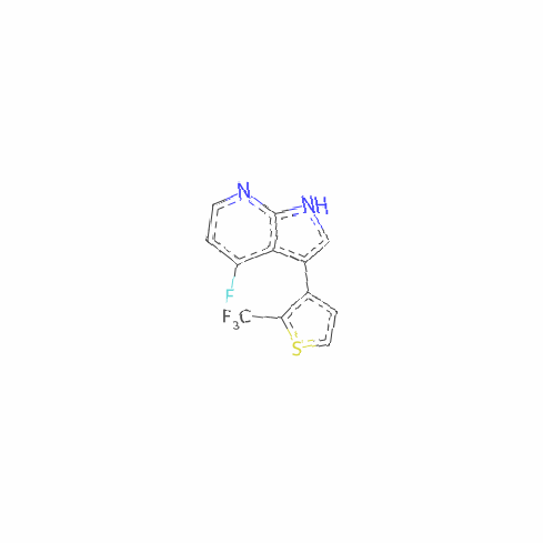 Fc1ccnc2[nH]cc(-c3ccsc3C(F)(F)F)c12